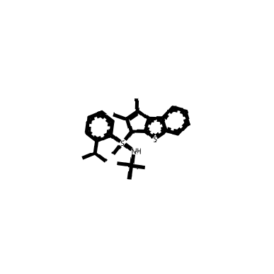 CC1=C(C)C(S(C)(NC(C)(C)C)c2ccccc2C(C)C)c2sc3ccccc3c21